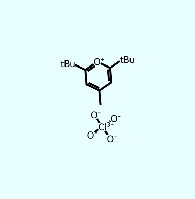 Cc1cc(C(C)(C)C)[o+]c(C(C)(C)C)c1.[O-][Cl+3]([O-])([O-])[O-]